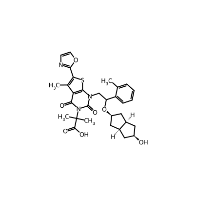 Cc1ccccc1C(Cn1c(=O)n(C(C)(C)C(=O)O)c(=O)c2c(C)c(-c3ncco3)sc21)O[C@H]1C[C@H]2C[C@@H](O)C[C@H]2C1